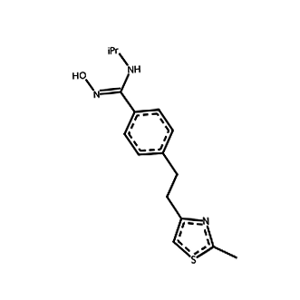 Cc1nc(CCc2ccc(/C(=N/O)NC(C)C)cc2)cs1